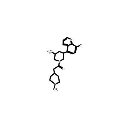 CC1CC(c2ccc(Cl)c3ncccc23)CN(C(=O)CC2CCN(C)CC2)C1